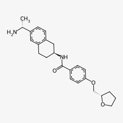 C[C@@H](N)c1ccc2c(c1)CC[C@H](NC(=O)c1ccc(OC[C@@H]3CCCO3)cc1)C2